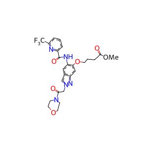 COC(=O)CCCOc1cc2nn(CC(=O)N3CCOCC3)cc2cc1NC(=O)c1cccc(C(F)(F)F)n1